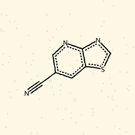 N#Cc1cnc2ncsc2c1